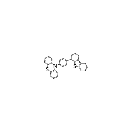 c1ccc2c(c1)Sc1ccccc1N2c1ccc(-c2cccc3c2sc2ccccc23)cc1